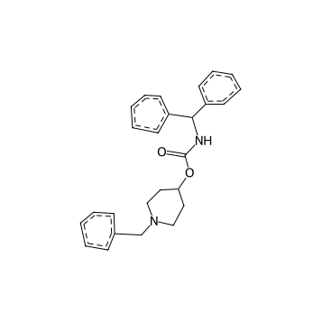 O=C(NC(c1ccccc1)c1ccccc1)OC1CCN(Cc2ccccc2)CC1